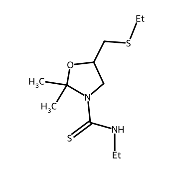 CCNC(=S)N1CC(CSCC)OC1(C)C